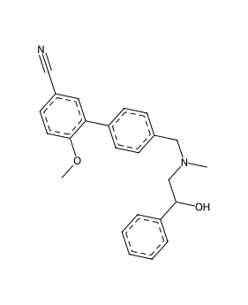 COc1ccc(C#N)cc1-c1ccc(CN(C)CC(O)c2ccccc2)cc1